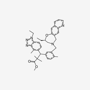 CC[C@@H]1CN(Cc2cc(C(c3ccc4c(nnn4CC)c3C)C(C)(C)C(=O)OC)ccc2C)Cc2cc3ncccc3cc2O1